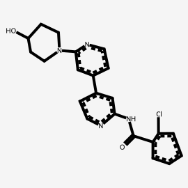 O=C(Nc1cc(-c2ccnc(N3CCC(O)CC3)c2)ccn1)c1ccccc1Cl